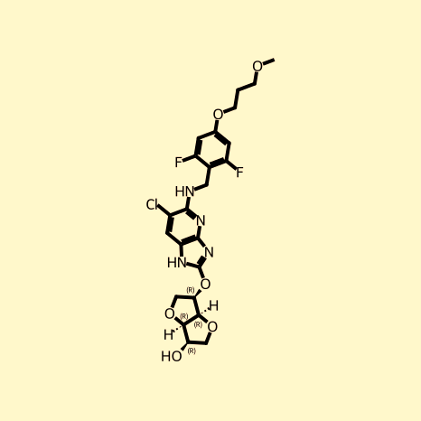 COCCCOc1cc(F)c(CNc2nc3nc(O[C@@H]4CO[C@H]5[C@@H]4OC[C@H]5O)[nH]c3cc2Cl)c(F)c1